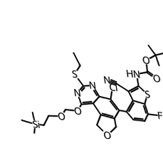 CCSc1nc(OCOCC[Si](C)(C)C)c2c3c(c(-c4ccc(F)c5sc(NC(=O)OC(C)(C)C)c(C#N)c45)c(Cl)c2n1)COC3